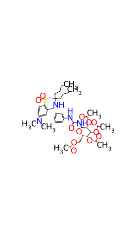 CCCCC1(CCCC)CS(=O)(=O)c2ccc(N(C)C)cc2[C@@H](c2cccc(NC(=O)N[C@@H]3O[C@H](COC(C)=O)[C@@H](OC(C)=O)[C@H](OC(C)=O)[C@H]3OC(C)=O)c2)N1